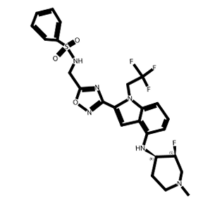 CN1CC[C@@H](Nc2cccc3c2cc(-c2noc(CNS(=O)(=O)c4ccccc4)n2)n3CC(F)(F)F)[C@@H](F)C1